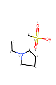 CCN1CCCC1.CS(=O)(=O)O